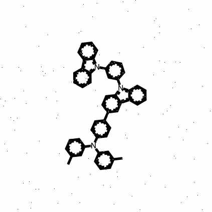 Cc1cccc(N(c2ccc(-c3ccc4c(c3)c3ccccc3n4-c3cccc(-n4c5ccccc5c5ccccc54)c3)cc2)c2cccc(C)c2)c1